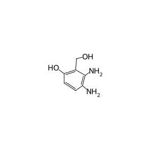 Nc1ccc(O)c(CO)c1N